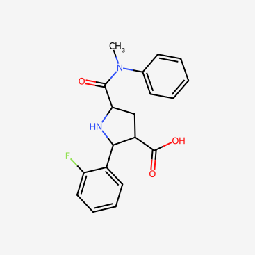 CN(C(=O)C1CC(C(=O)O)C(c2ccccc2F)N1)c1ccccc1